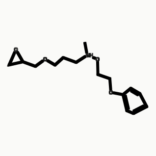 C[SiH](CCCOCC1CO1)OCCOc1ccccc1